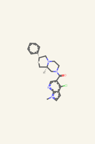 Cn1ccc2c(Cl)c(C(=O)N3CCN4C[C@@H](c5ccccc5)CC[C@@H]4C3)cnc21